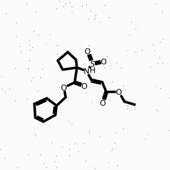 CCOC(=O)C=CN([SH](=O)=O)C1(C(=O)OCc2ccccc2)CCCC1